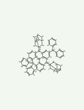 c1ccc(N(c2ccccc2)c2cc3c4c(c2)N(C25CC6CC(CC(C6)C2)C5)c2cccc5c2B4c2c(cccc2[Si]5(c2ccccc2)c2ccccc2)N3C23CC4CC(CC(C4)C2)C3)cc1